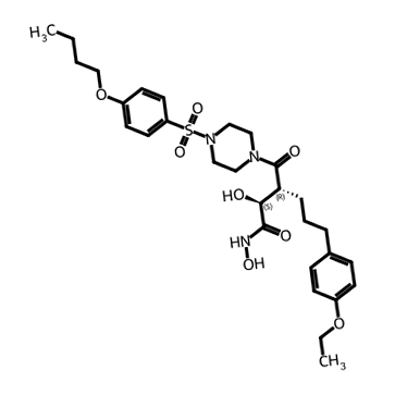 CCCCOc1ccc(S(=O)(=O)N2CCN(C(=O)[C@H](CCCc3ccc(OCC)cc3)[C@H](O)C(=O)NO)CC2)cc1